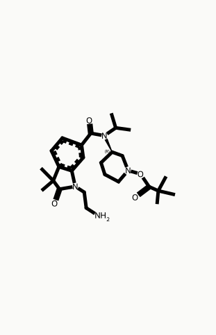 CC(C)N(C(=O)c1ccc2c(c1)N(CCN)C(=O)C2(C)C)[C@@H]1CCCN(OC(=O)C(C)(C)C)C1